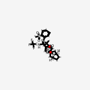 CC(C)(Oc1ccccc1S(C)(=O)=O)C(=O)N[C@H]1C[C@H]2CC[C@@H](C1)N2c1ccc(C(=O)NCC(F)(F)F)cn1